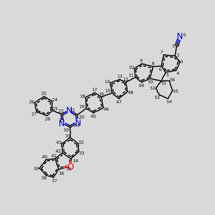 N#Cc1ccc2c(c1)-c1ccc(-c3ccc(-c4ccc(-c5nc(-c6ccccc6)nc(-c6ccc7oc8ccccc8c7c6)n5)cc4)cc3)cc1C21CCCCC1